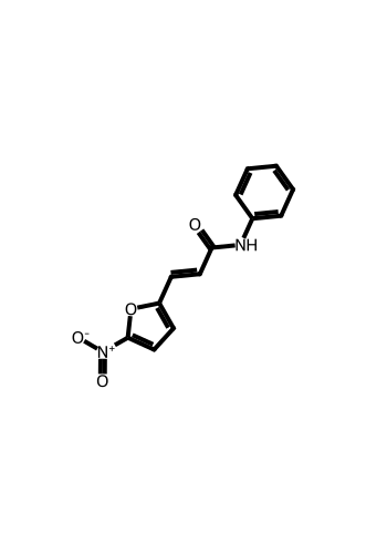 O=C(/C=C/c1ccc([N+](=O)[O-])o1)Nc1ccccc1